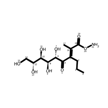 CCCC(C(=O)[C@@H](O)[C@@H](O)[C@H](O)[C@H](O)CO)=C(C)C(=O)ON